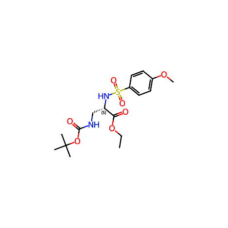 CCOC(=O)[C@H](CNC(=O)OC(C)(C)C)NS(=O)(=O)c1ccc(OC)cc1